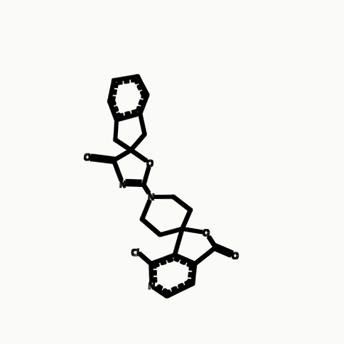 O=C1OC2(CCN(C3=NC(=O)C4(Cc5ccccc5C4)O3)CC2)c2c1ccnc2Cl